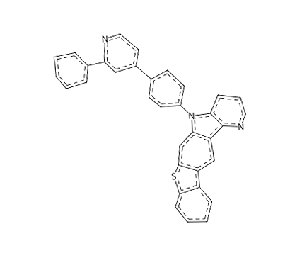 c1ccc(-c2cc(-c3ccc(-n4c5cc6sc7ccccc7c6cc5c5ncccc54)cc3)ccn2)cc1